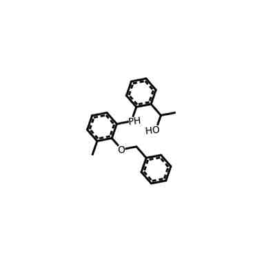 Cc1cccc(Pc2ccccc2C(C)O)c1OCc1ccccc1